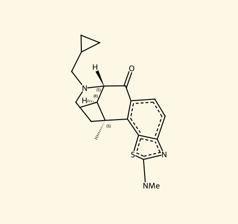 CNc1nc2ccc3c(c2s1)[C@@]1(C)CCN(CC2CC2)[C@H](C3=O)[C@@H]1C